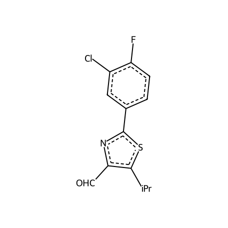 CC(C)c1sc(-c2ccc(F)c(Cl)c2)nc1C=O